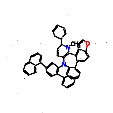 CN1C2=C(C=CC1C1C=CC=CC1)N(c1cc(-c3cccc4ccccc34)ccc1-c1ccccc1)c1ccccc1-c1ccc3occc3c12